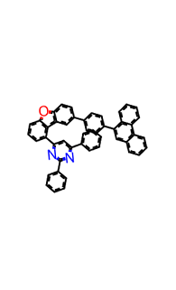 c1ccc(-c2cc(-c3cccc4oc5ccc(-c6ccc(-c7cc8ccccc8c8ccccc78)cc6)cc5c34)nc(-c3ccccc3)n2)cc1